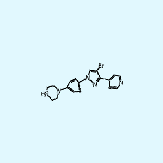 Brc1cn(-c2ccc(N3CCNCC3)cc2)nc1-c1ccncc1